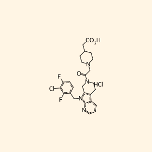 Cl.O=C(O)CC1CCN(CC(=O)N2CCc3c(n(Cc4ccc(F)c(Cl)c4F)c4ncccc34)C2)CC1